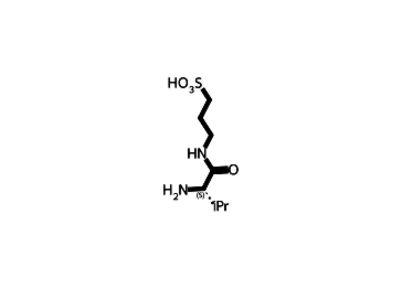 CC(C)[C@H](N)C(=O)NCCCS(=O)(=O)O